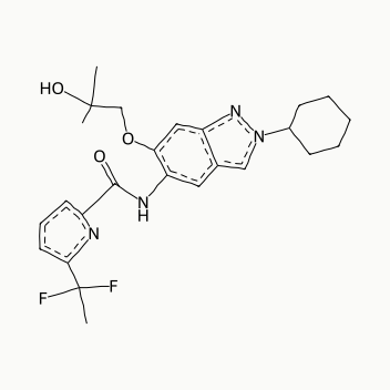 CC(C)(O)COc1cc2nn(C3CCCCC3)cc2cc1NC(=O)c1cccc(C(C)(F)F)n1